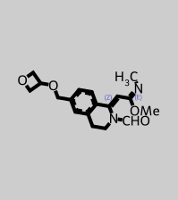 C/N=C(\C=C1\c2ccc(COC3COC3)cc2CCN1C=O)OC